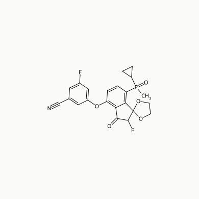 CP(=O)(c1ccc(Oc2cc(F)cc(C#N)c2)c2c1C1(OCCO1)C(F)C2=O)C1CC1